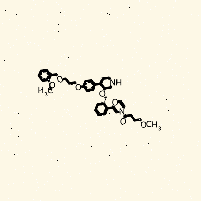 COCCCC(=O)N1C=COC(C2=CC=CC[C@@H]2COC2CNCCC2c2ccc(OCCCOCc3ccccc3OC)cc2)=C1